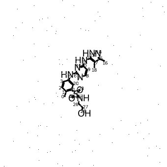 Cc1ccc(Nc2nccc(Nc3[nH]nc(C)c3C)n2)cc1S(=O)(=O)NCCO